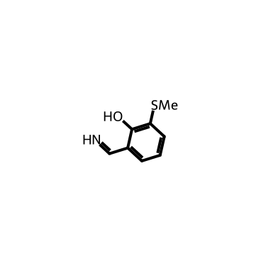 CSc1cccc(C=N)c1O